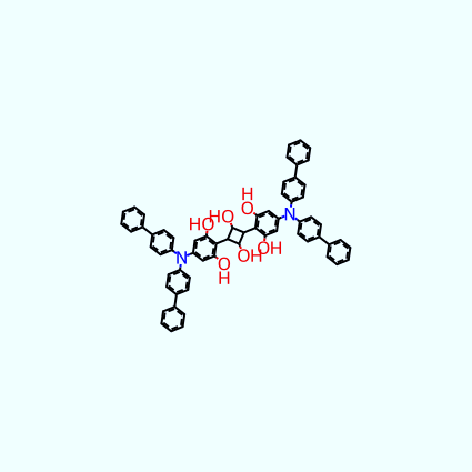 Oc1cc(N(c2ccc(-c3ccccc3)cc2)c2ccc(-c3ccccc3)cc2)cc(O)c1C1C(O)C(c2c(O)cc(N(c3ccc(-c4ccccc4)cc3)c3ccc(-c4ccccc4)cc3)cc2O)C1O